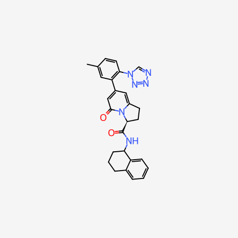 Cc1ccc(-n2cnnn2)c(-c2cc3n(c(=O)c2)[C@H](C(=O)NC2CCCc4ccccc42)CC3)c1